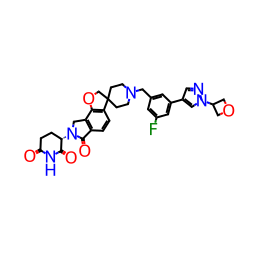 O=C1CC[C@H](N2Cc3c(ccc4c3OCC43CCN(Cc4cc(F)cc(-c5cnn(C6COC6)c5)c4)CC3)C2=O)C(=O)N1